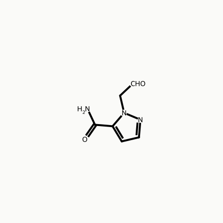 NC(=O)c1ccnn1CC=O